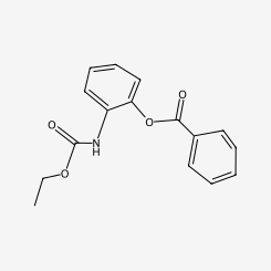 CCOC(=O)Nc1ccccc1OC(=O)c1ccccc1